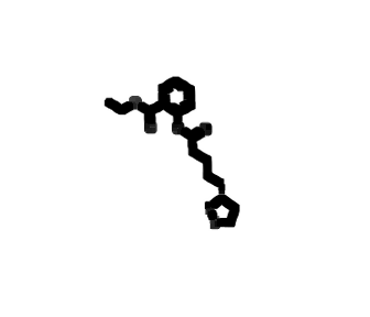 CCOC(=O)c1ccccc1OC(=O)CCCC[C@@H]1CCSS1